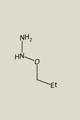 CCCONN